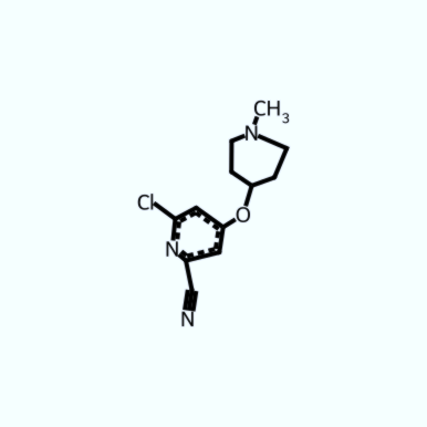 CN1CCC(Oc2cc(Cl)nc(C#N)c2)CC1